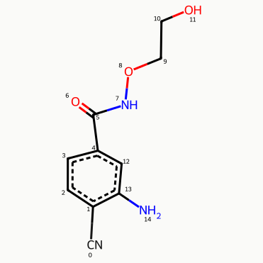 N#Cc1ccc(C(=O)NOCCO)cc1N